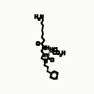 Cl.NCCCCCCCC(=O)NC[C@@H]1CN(CCCc2ccccc2)C(=O)[C@H]1CC(=O)O